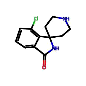 O=C1NC2(CCNCC2)c2c(Cl)cccc21